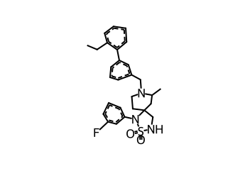 CCc1ccccc1-c1cccc(CN2CCC3(CNS(=O)(=O)N3c3cccc(F)c3)CC2C)c1